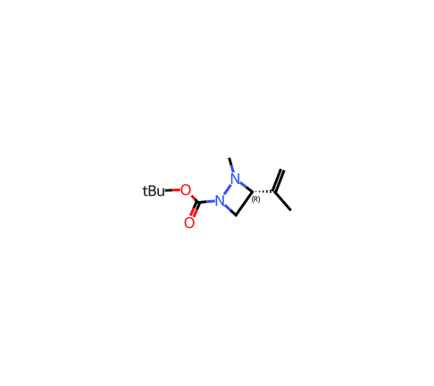 C=C(C)[C@@H]1CN(C(=O)OC(C)(C)C)N1C